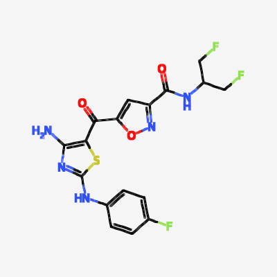 Nc1nc(Nc2ccc(F)cc2)sc1C(=O)c1cc(C(=O)NC(CF)CF)no1